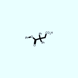 CC(C)OC(=O)C(CC(=O)O)(C(C)C)C(C)C